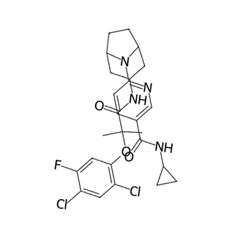 CC(C)(Oc1cc(F)c(Cl)cc1Cl)C(=O)NC1CC2CCC(C1)N2c1ccc(C(=O)NC2CC2)cn1